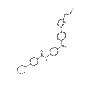 O=CNc1ccn(-c2ccc(C(=O)c3ccc(NC(=O)c4ccc(N5CCOCC5)cc4)cc3)cc2)n1